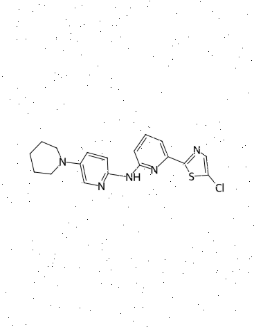 Clc1cnc(-c2cccc(Nc3ccc(N4CCCCC4)cn3)n2)s1